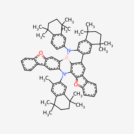 Cc1cc2c(cc1N1c3cc4c(cc3B3c5c(cc6c(oc7ccccc76)c51)-c1cc5c(cc1N3c1ccc3c(c1)C(C)(C)CCC3(C)C)C(C)(C)CCC5(C)C)oc1ccccc14)C(C)(C)CCC2(C)C